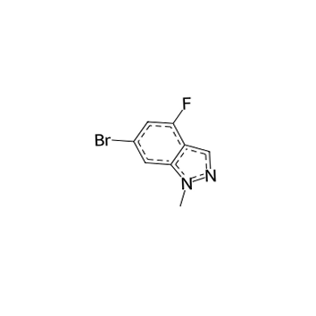 Cn1ncc2c(F)cc(Br)cc21